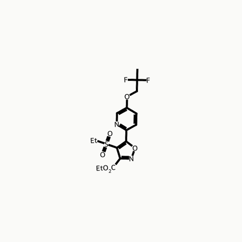 CCOC(=O)c1noc(-c2ccc(OCC(C)(F)F)cn2)c1S(=O)(=O)CC